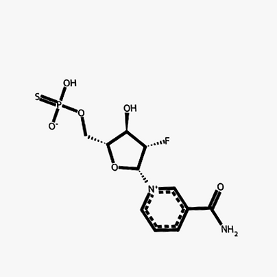 NC(=O)c1ccc[n+]([C@@H]2O[C@H](COP([O-])(O)=S)[C@@H](O)[C@@H]2F)c1